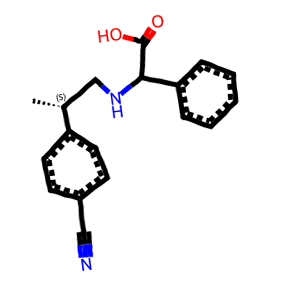 C[C@H](CNC(C(=O)O)c1ccccc1)c1ccc(C#N)cc1